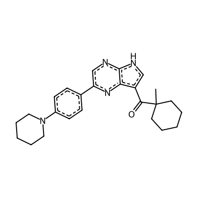 CC1(C(=O)c2c[nH]c3ncc(-c4ccc(N5CCCCC5)cc4)nc23)CCCCC1